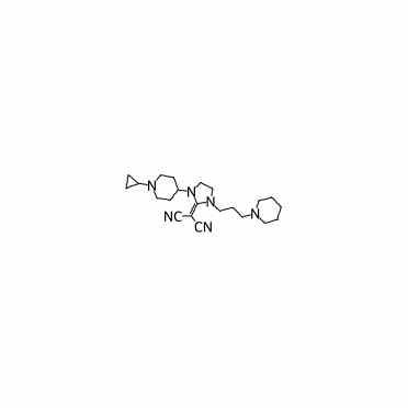 N#CC(C#N)=C1N(CCCN2CCCCC2)CCN1C1CCN(C2CC2)CC1